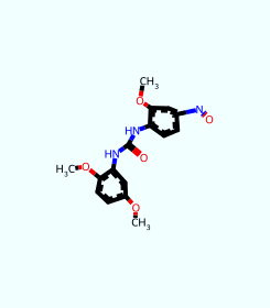 COc1ccc(OC)c(NC(=O)Nc2ccc(N=O)cc2OC)c1